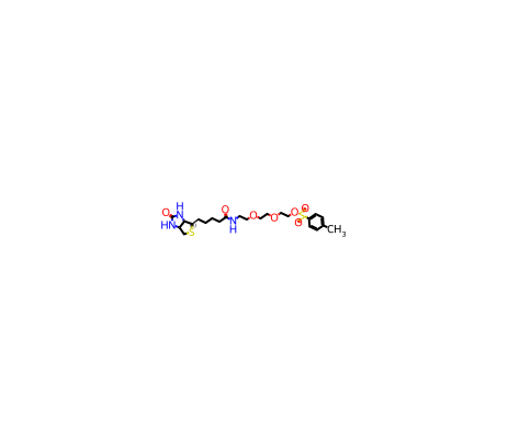 Cc1ccc(S(=O)(=O)OCCOCCOCCNC(=O)CCCC[C@H]2SCC3NC(=O)NC32)cc1